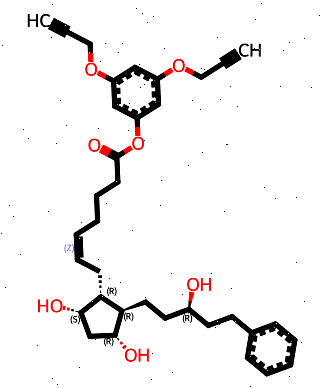 C#CCOc1cc(OCC#C)cc(OC(=O)CCC/C=C\C[C@@H]2[C@@H](CC[C@@H](O)CCc3ccccc3)[C@H](O)C[C@@H]2O)c1